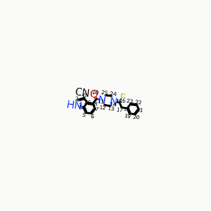 N#Cc1c[nH]c2cccc(C(=O)N3CCN(C(F)Cc4ccccc4)CC3)c12